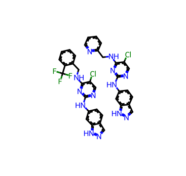 Clc1cnc(Nc2ccc3cn[nH]c3c2)nc1NCc1ccccn1.FC(F)(F)c1ccccc1CNc1nc(Nc2ccc3cn[nH]c3c2)ncc1Cl